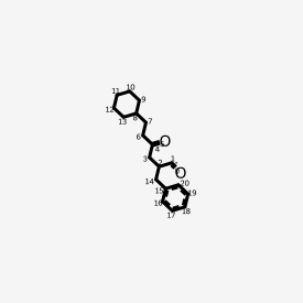 O=[C]C(CC(=O)CCC1CCCCC1)Cc1ccccc1